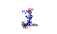 COc1cc(C(=O)N2C[C@H]3CC[C@@H]2[C@@H]3N)cc2nc(-c3cc4ccc(-c5ccc(O)c(N)c5)nc4n3CC3CC3)n(C)c12